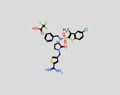 Cc1c(S(=O)(=O)N(Cc2ccccc2)[C@H]2CCN(Cc3csc(C(=N)N)c3)C2=O)sc2ccc(Cl)cc12.O=C(O)C(F)(F)F